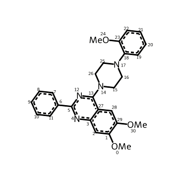 COc1cc2nc(-c3ccccc3)nc(N3CCN(c4ccccc4OC)CC3)c2cc1OC